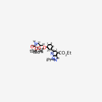 CCOC(=O)c1cc(-c2cccc(OCC(CN(C)C(=O)OC(C)(C)C)O[Si](C)(C)C(C)(C)C)c2)nc2c1cnn2C(C)C